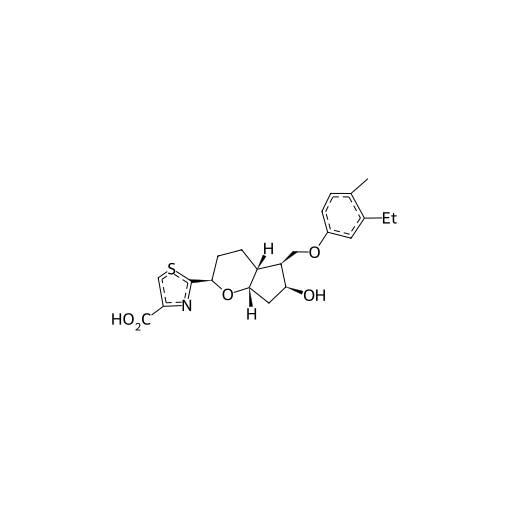 CCc1cc(OC[C@@H]2[C@H]3CC[C@H](c4nc(C(=O)O)cs4)O[C@H]3C[C@@H]2O)ccc1C